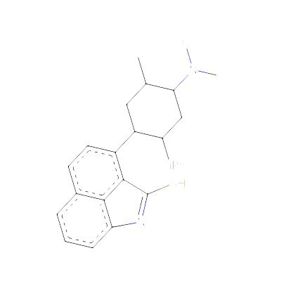 CCN(CC)C1CC(C(C)C)C(c2ccc3cccc4c3c2C(S)=N4)CC1C